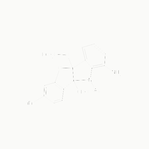 CCOC(=O)OC12Oc3cc(C(C)C)ccc3C1(C=O)N(C(C)=O)c1c(N)cccc12